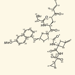 C=C1CC(NC(=O)[C@@H]2C[C@@H](Oc3nccc4cc(OC)ccc34)CN2C(=O)[C@H](CCC(=O)/C(C)=C/C)NC(=O)OC(C)(C)C)(C(=O)NS(=O)(=O)C2CC2)C1